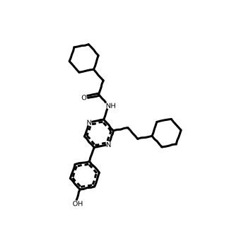 O=C(CC1CCCCC1)Nc1ncc(-c2ccc(O)cc2)nc1CCC1CCCCC1